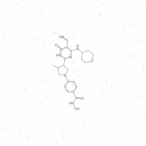 CC1CN(c2ccc(C(=O)NO)cc2)CC1c1nc(NC2CCOCC2)c(C=N)c(=O)[nH]1